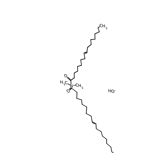 CCCCCCCCC=CCCCCCCCC(=O)[N+](C)(C)C(=O)CCCCCCCC=CCCCCCCCC.[OH-]